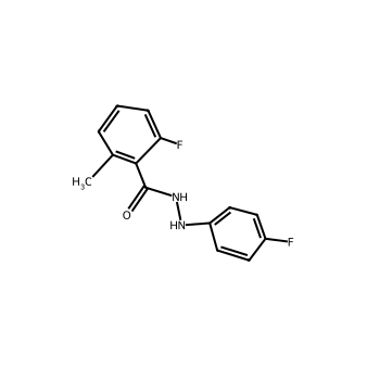 Cc1cccc(F)c1C(=O)NNc1ccc(F)cc1